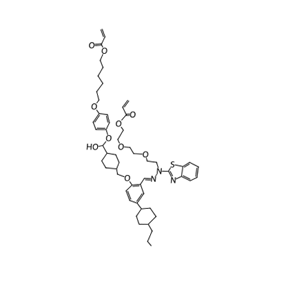 C=CC(=O)OCCCCCCOc1ccc(OC(O)C2CCC(COc3ccc(C4CCC(CCC)CC4)cc3/C=N/N(CCOCCOCCOC(=O)C=C)c3nc4ccccc4s3)CC2)cc1